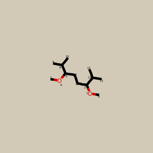 COC(CCC(OC)C(C)C)C(C)C